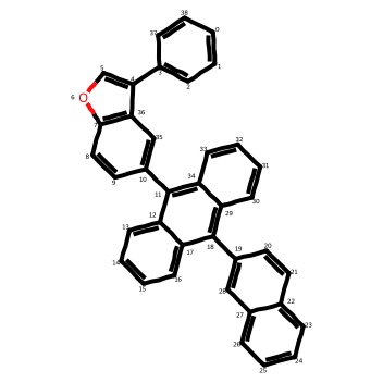 c1ccc(-c2coc3ccc(-c4c5ccccc5c(-c5ccc6ccccc6c5)c5ccccc45)cc23)cc1